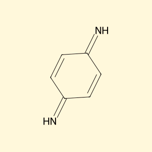 N=C1C=CC(=N)C=C1